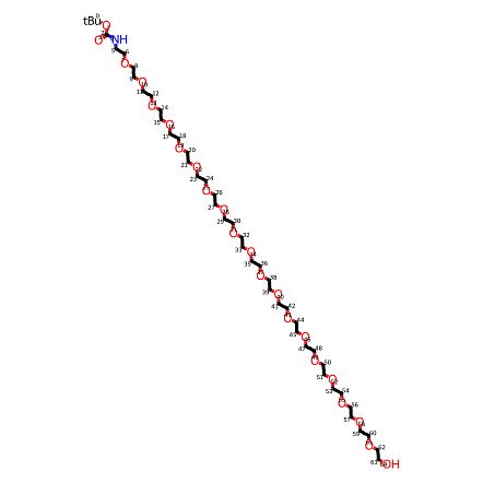 CC(C)(C)OC(=O)NCCOCCOCCOCCOCCOCCOCCOCCOCCOCCOCCOCCOCCOCCOCCOCCOCCOCCOCCOCCO